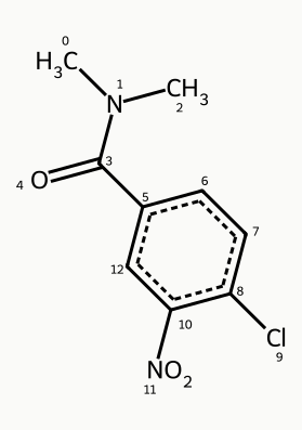 CN(C)C(=O)c1ccc(Cl)c([N+](=O)[O-])c1